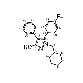 Cc1nn(CC2CCCCC2)c(C2C=CC(F)=CC2)c1-c1ccccc1